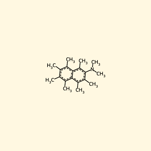 Cc1c(C)c(C)c2c(C)c(N(C)C)c(C)c(C)c2c1C